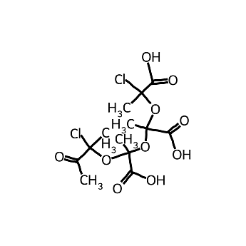 CC(=O)C(C)(Cl)OC(C)(OC(C)(OC(C)(Cl)C(=O)O)C(=O)O)C(=O)O